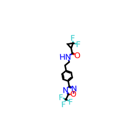 O=C(NCCc1ccc(-c2noc(C(F)(F)F)n2)cc1)C1CC1(F)F